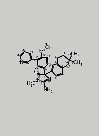 CN1C(=O)C(c2ccc3c(c2)CCC(C)(C)O3)(c2ccc(F)c(-c3cccnc3)c2)N=C1N.Cl